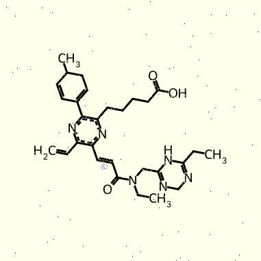 C=Cc1nc(C2=CCC(C)C=C2)c(CCCCC(=O)O)nc1/C=C/C(=O)N(CC)CC1=NCN=C(CC)N1